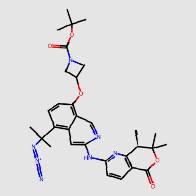 C[C@@H]1c2nc(Nc3cc4c(C(C)(C)N=[N+]=[N-])ccc(OC5CN(C(=O)OC(C)(C)C)C5)c4cn3)ccc2C(=O)OC1(C)C